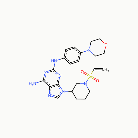 C=CS(=O)(=O)N1CCCC(n2cnc3c(N)nc(Nc4ccc(N5CCOCC5)cc4)nc32)C1